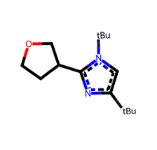 CC(C)(C)c1cn(C(C)(C)C)c(C2CCOC2)n1